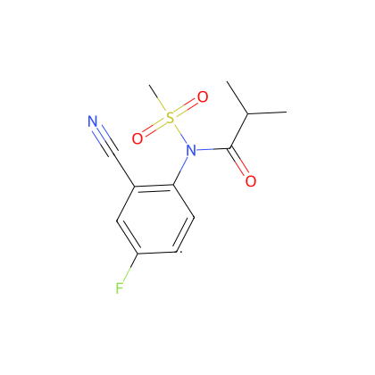 CC(C)C(=O)N(c1c[c]c(F)cc1C#N)S(C)(=O)=O